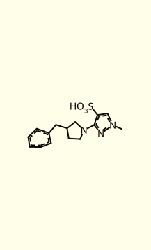 Cn1cc(S(=O)(=O)O)c(N2CCC(Cc3ccccc3)C2)n1